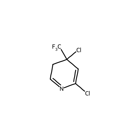 FC(F)(F)C1(Cl)C=C(Cl)N=CC1